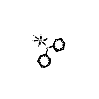 [F][Sb-]([F])([F])([F])([F])[F].c1cc[c]([Bi+][c]2ccccc2)cc1